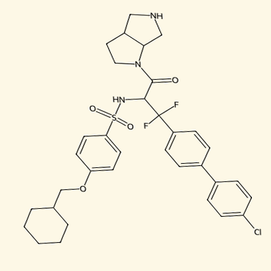 O=C(C(NS(=O)(=O)c1ccc(OCC2CCCCC2)cc1)C(F)(F)c1ccc(-c2ccc(Cl)cc2)cc1)N1CCC2CNCC21